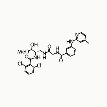 COC(O)[C@H](CNC(=O)CNC(=O)c1cccc(Nc2cc(C)ccn2)c1)NC(=O)c1c(Cl)cccc1Cl